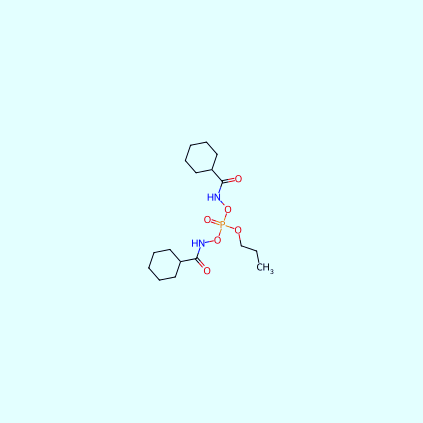 CCCOP(=O)(ONC(=O)C1CCCCC1)ONC(=O)C1CCCCC1